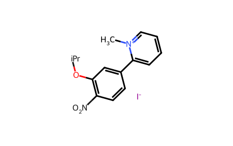 CC(C)Oc1cc(-c2cccc[n+]2C)ccc1[N+](=O)[O-].[I-]